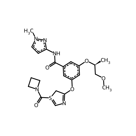 COC[C@H](C)Oc1cc(OC2=NC=S(C(=O)N3CCC3)C2)cc(C(=O)Nc2ccn(C)n2)c1